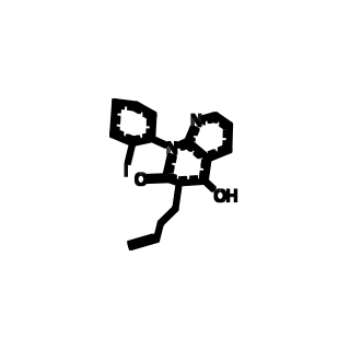 C=CCCc1c(O)c2cccnc2n(-c2ccccc2I)c1=O